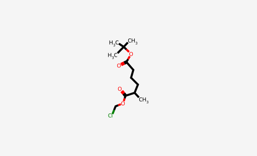 CC(CCCC(=O)OC(C)(C)C)C(=O)OCCl